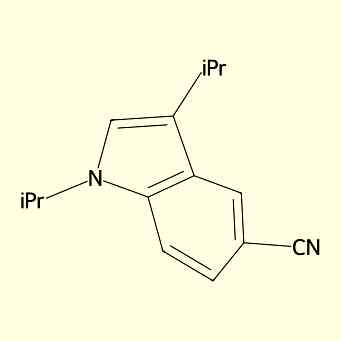 CC(C)c1cn(C(C)C)c2ccc(C#N)cc12